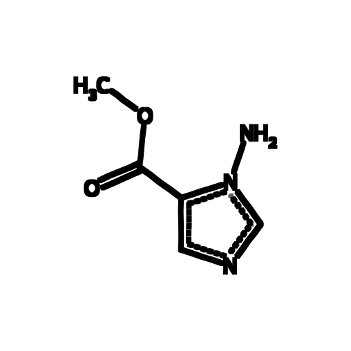 COC(=O)c1cncn1N